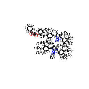 CCCCCCC1=C(c2cc(CC)c(CC)c(CC)c2)[N+](=[N-])C(c2cc(CC)c(CC)c(CC)c2)=C1CCCC.CCCCCCC1=C(c2cc(CCC)c(CCC)c(CCC)c2)[N+](=[N-])C(c2cc(CCC)c(CCC)c(CCC)c2)=C1CCCCCC.[Ni].c1ccc([O][Ni][O]c2ccccc2)cc1